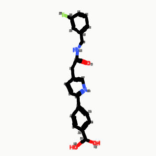 O=C(Cc1ccc(-c2ccc(C(O)O)cc2)nc1)NCc1cccc(F)c1